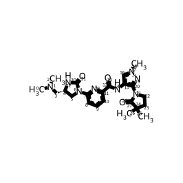 CN(C)C[C@H]1CN(c2cccc(C(=O)Nc3cn(C)nc3N3CCC(C)(C)C3=O)n2)C(=O)N1